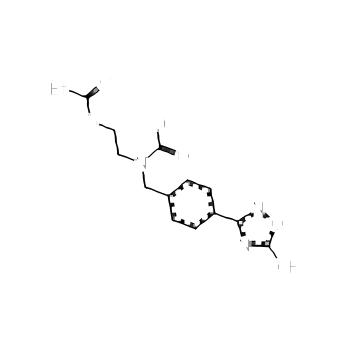 CCC(=O)OCCN(Cc1ccc(-c2noc(C(F)(F)F)n2)cc1)C(=O)CC